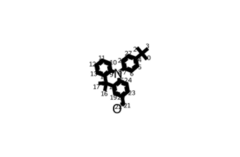 CC(C)(C)c1ccc(N2c3ccccc3C(C)(C)c3cc(C=O)ccc32)cc1